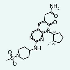 C[C@H]1CCC[C@@H]1n1c(=O)c(CC(N)=O)cc2cnc(NC3CCN(S(C)(=O)=O)CC3)nc21